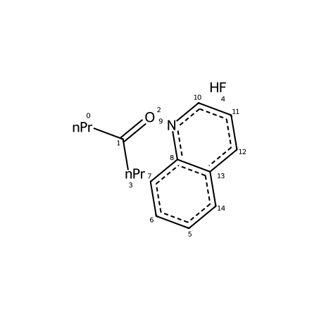 CCCC(=O)CCC.F.c1ccc2ncccc2c1